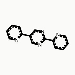 c1ccc(-c2cnc(-c3ccccn3)nc2)nc1